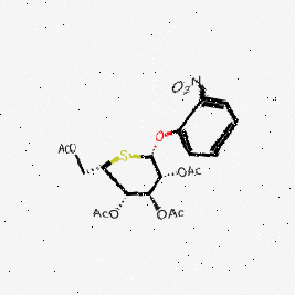 CC(=O)OC[C@@H]1S[C@H](Oc2ccccc2[N+](=O)[O-])[C@H](OC(C)=O)[C@@H](OC(C)=O)[C@@H]1OC(C)=O